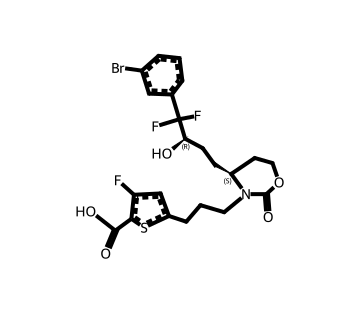 O=C(O)c1sc(CCCN2C(=O)OCC[C@@H]2CC[C@@H](O)C(F)(F)c2cccc(Br)c2)cc1F